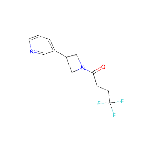 O=C(CCC(F)(F)F)N1CC(c2cccnc2)C1